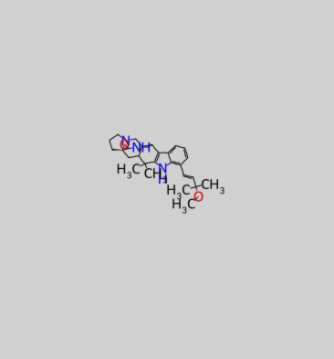 COC(C)(C)/C=C/c1cccc2c3c([nH]c12)C(C)(C)C1C[C@]24CCCN2C[C@@]1(C3)NC4=O